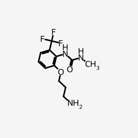 CNC(=O)Nc1c(OCCCN)cccc1C(F)(F)F